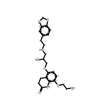 O=C1CCc2c(OCC(O)CNCCc3ccc4c(c3)OCO4)ccc(OCCO)c2N1